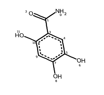 NC(=O)c1cc(O)c(O)cc1O